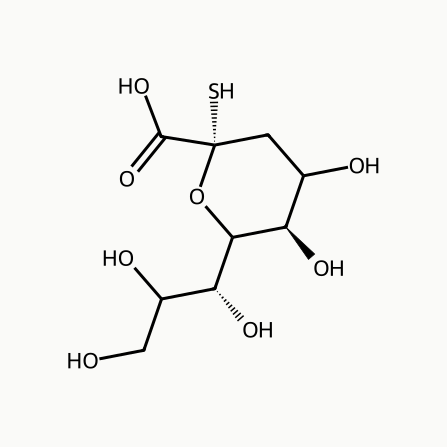 O=C(O)[C@@]1(S)CC(O)[C@@H](O)C([C@H](O)C(O)CO)O1